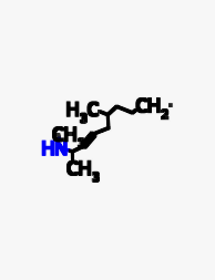 [CH2]CCC(C)CC#CC(C)NC